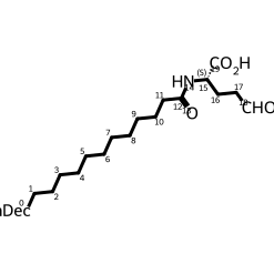 CCCCCCCCCCCCCCCCCCCCCC(=O)N[C@@H](CC[C]=O)C(=O)O